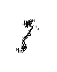 CN(CCCOc1cccc(COC(=O)COc2ccc3c(c2)CC[C@@H]2[C@@H]3CC[C@]3(C)[C@@H](O)CC[C@@H]23)c1)CCC(O)(OP(O)O)O[PH](=O)O